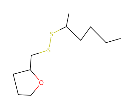 CCCCC(C)SSCC1CCCO1